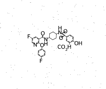 O=C(O)c1cc(S(=O)(=O)NC2CCC(NC(=O)c3cc(F)cnc3Oc3ccc(F)cc3)CC2)ccc1O